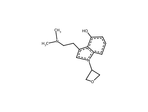 CN(C)CCc1cn(C2COC2)c2cccc(O)c12